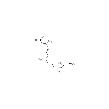 C#CCOC(C)(C)CCCC(C)CC=CC(C)=CC(=O)O